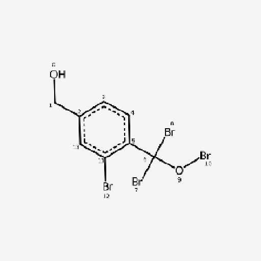 OCc1ccc(C(Br)(Br)OBr)c(Br)c1